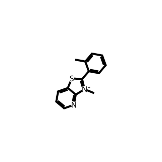 Cc1ccccc1-c1sc2cccnc2[n+]1C